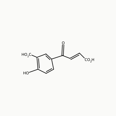 O=C(O)C=CC(=O)c1ccc(O)c(C(=O)O)c1